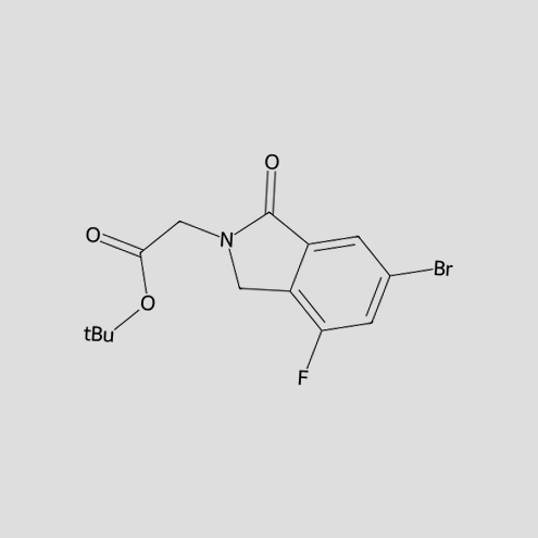 CC(C)(C)OC(=O)CN1Cc2c(F)cc(Br)cc2C1=O